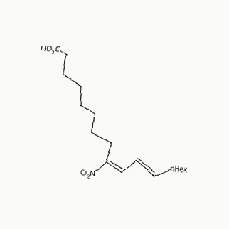 CCCCCC/C=C/C=C(\CCCCCCCC(=O)O)[N+](=O)[O-]